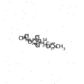 Cc1ccc(Oc2cccc(COc3c(Cl)cc(OCC=C(Cl)Cl)cc3Cl)c2)cc1